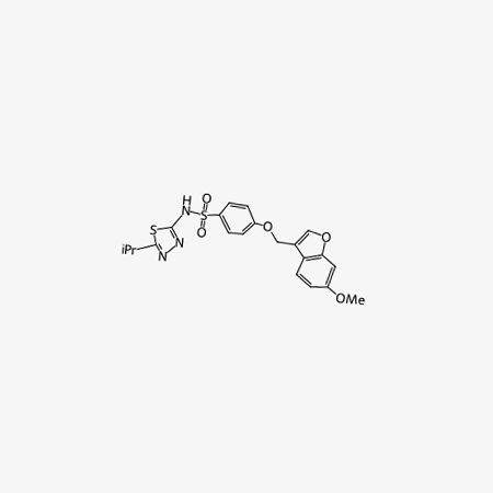 COc1ccc2c(COc3ccc(S(=O)(=O)Nc4nnc(C(C)C)s4)cc3)coc2c1